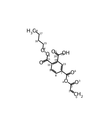 C=CC(=O)OC(=O)c1ccc(C(=O)OOCCCC)c(C(=O)O)c1